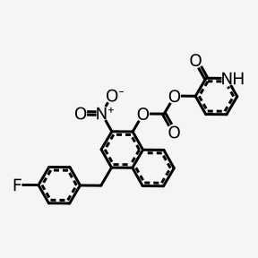 O=C(Oc1ccc[nH]c1=O)Oc1c([N+](=O)[O-])cc(Cc2ccc(F)cc2)c2ccccc12